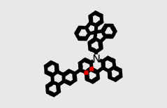 C1=CC2c3ccccc3C3(c4ccccc4-c4cc(N(c5ccc(-c6ccc7c8ccccc8c8ccccc8c7c6)cc5)c5ccc6ccccc6c5-c5ccccc5)ccc43)C2C=C1